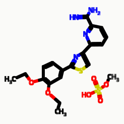 CCOc1ccc(-c2nc(-c3cccc(C(=N)N)n3)cs2)cc1OCC.COS(=O)(=O)O